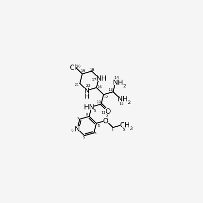 CCOc1ccncc1NC(=O)C(C(N)N)C1NCC(Cl)CN1